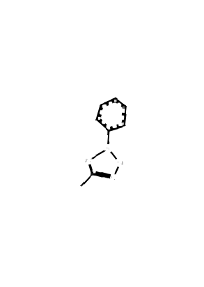 ClC1=NNN(c2ccccc2)N1